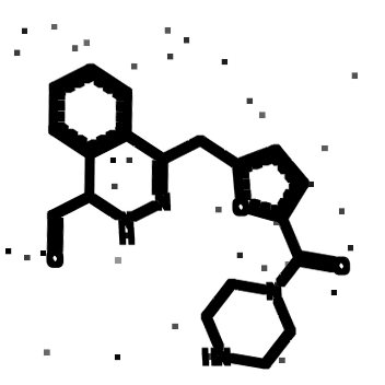 O=CC1NN=C(Cc2ccc(C(=O)N3CCNCC3)o2)c2ccccc21